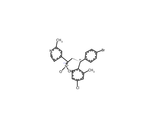 Cc1cc(/C(C[C@H](c2ccc(Br)cc2)c2ccc(Cl)cc2C)=[N+](\[O-])O)ccn1